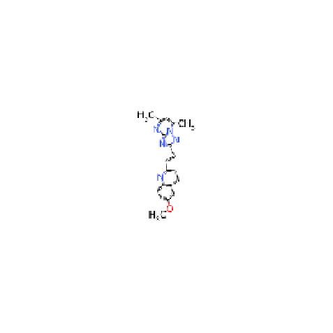 COc1ccc2nc(C=Cc3nc4nc(C)cc(C)n4n3)ccc2c1